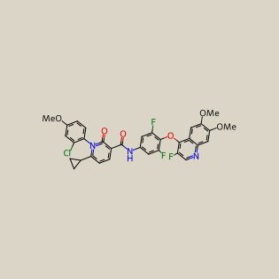 COc1ccc(-n2c(C3CC3)ccc(C(=O)Nc3cc(F)c(Oc4c(F)cnc5cc(OC)c(OC)cc45)c(F)c3)c2=O)c(Cl)c1